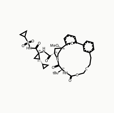 CO[C@@]12C[C@@H](C(=O)N[C@]3(C(=O)NS(=O)(=O)C4CC4)C[C@H]3C3CC3)N(C1)C(=O)[C@H](C(C)(C)C)NC(=O)OCCCCc1cccc(c1)-c1cccc2c1